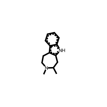 CC1Cc2[nH]c3ccccc3c2CCN1C